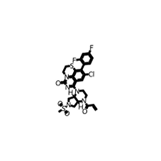 C=CC(=O)N1CCN(c2nc(=O)n3c4c(c(-c5ccc(F)cc5F)c(Cl)cc24)SCC3)[C@H]2CN(S(C)(=O)=O)C[C@H]21